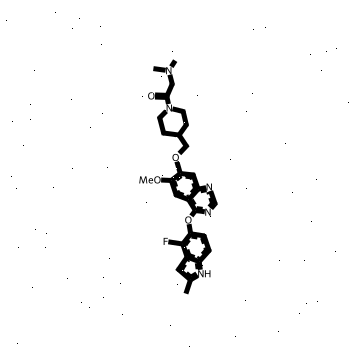 COc1cc2c(Oc3ccc4[nH]c(C)cc4c3F)ncnc2cc1OCC1CCN(C(=O)CN(C)C)CC1